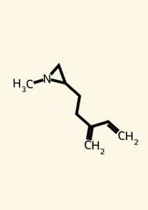 C=CC(=C)CCC1CN1C